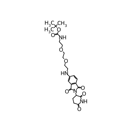 CC(C)(C)OC(=O)NCCOCCOCCNc1ccc2c(c1)C(=O)N(C1CCC(=O)NC1=O)C2=O